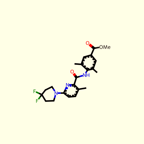 COC(=O)c1cc(C)c(NC(=O)c2nc(N3CCC(F)(F)CC3)ccc2C)c(C)c1